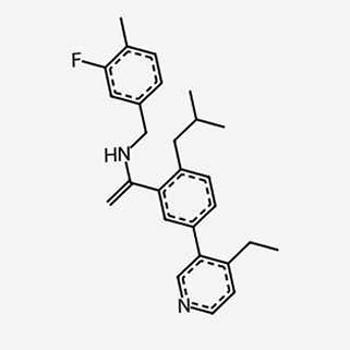 C=C(NCc1ccc(C)c(F)c1)c1cc(-c2cnccc2CC)ccc1CC(C)C